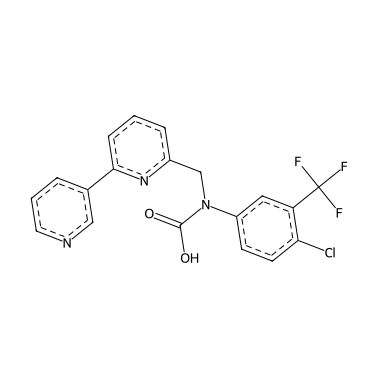 O=C(O)N(Cc1cccc(-c2cccnc2)n1)c1ccc(Cl)c(C(F)(F)F)c1